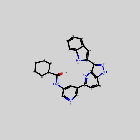 O=C(Nc1cncc(-c2ccc3[nH]nc(-c4cc5ccccc5[nH]4)c3n2)c1)C1CCCCC1